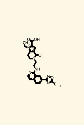 CCn1c(C(=O)O)cc2c1CCN(CCNc1nccc3ccc(-c4noc(C)n4)cc13)C2=O